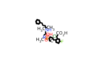 CN(CC(O)CNC(C)(C)CCCc1ccccc1)S(=O)(=O)c1ccc(-c2ccc(F)cc2CCC(=O)O)c(Cl)c1